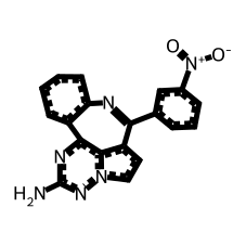 Nc1nc2c3c(ccn3n1)C(c1cccc([N+](=O)[O-])c1)=Nc1ccccc1-2